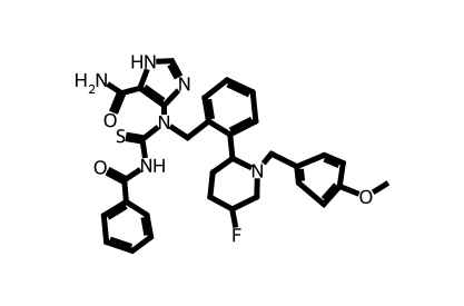 COc1ccc(CN2CC(F)CCC2c2ccccc2CN(C(=S)NC(=O)c2ccccc2)c2nc[nH]c2C(N)=O)cc1